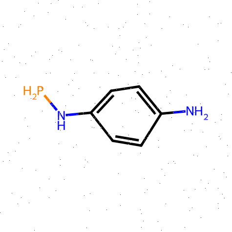 Nc1ccc(NP)cc1